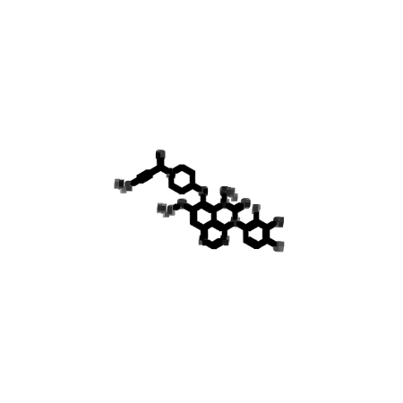 CC#CC(=O)N1CCC(Oc2c(OC)cc3ncnc4c3c2N(C)C(=O)N4c2ccc(Cl)c(Cl)c2F)CC1